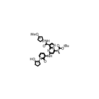 CO[C@@H]1CC[C@@H](NC(=O)c2cnn3c(N(C)C(=O)OC(C)(C)C)cc(Nc4cccn([C@H]5CCC[C@H]5O)c4=O)nc23)C1